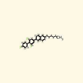 CCCCCCc1ccc2cc(-c3cc(F)c(-c4ccc(F)cc4)c(F)c3)ccc2c1